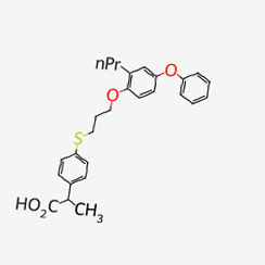 CCCc1cc(Oc2ccccc2)ccc1OCCCSc1ccc(C(C)C(=O)O)cc1